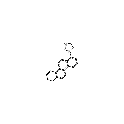 C1=Cc2c(ccc3c2ccc2c(N4C=NCC4)cccc23)CC1